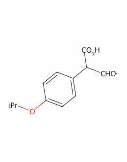 CC(C)Oc1ccc(C([C]=O)C(=O)O)cc1